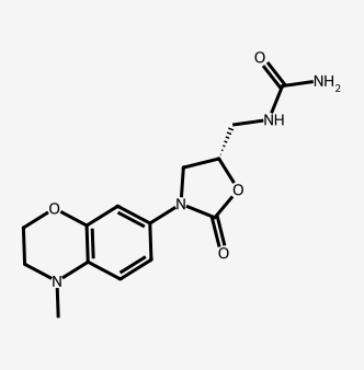 CN1CCOc2cc(N3C[C@H](CNC(N)=O)OC3=O)ccc21